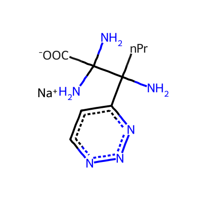 CCCC(N)(c1ccnnn1)C(N)(N)C(=O)[O-].[Na+]